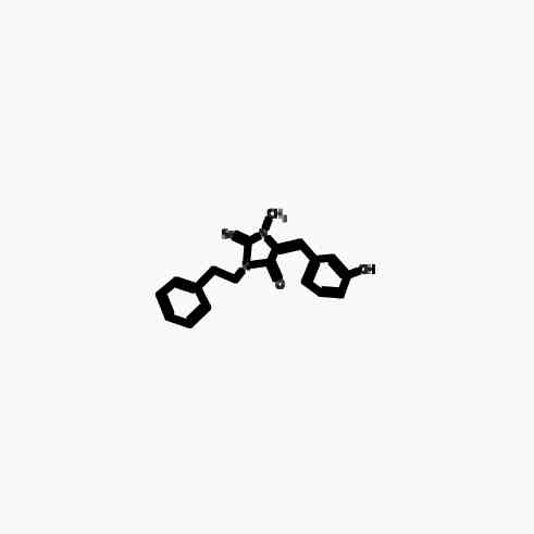 CN1C(=[Se])N(CCc2ccccc2)C(=O)C1=Cc1cccc(O)c1